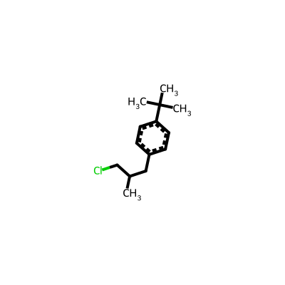 CC(CCl)Cc1ccc(C(C)(C)C)cc1